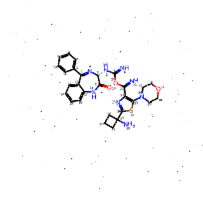 N=C(N[C@H]1N=C(c2ccccc2)c2ccccc2NC1=O)OC(=N)c1nc(C2(N)CCC2)sc1N1CCOCC1